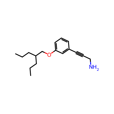 CCCC(CCC)COc1cccc(C#CCN)c1